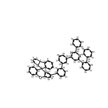 C1=CC2c3ccccc3C3(c4ccccc4Oc4ccc(-c5cccc(-c6cccc(-c7cc(-c8ccccc8-c8ccccc8)nc(-c8ccccc8)n7)c6)c5)cc43)C2C=C1